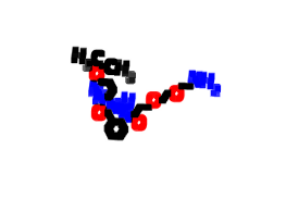 CC(C)Oc1ccc(NC(=O)c2ccccc2NC(=O)CCOCCOCCN)nn1